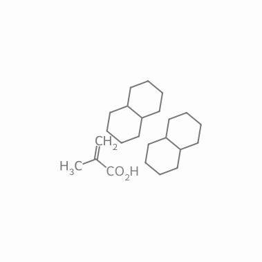 C1CCC2CCCCC2C1.C1CCC2CCCCC2C1.C=C(C)C(=O)O